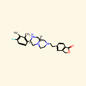 Cc1c([C@@H]2CN3CCN(CCc4ccc5c(c4)COC5=O)C[C@H]3CN2)ccc(F)c1C#N